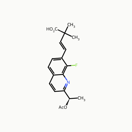 CC(=O)O[C@H](C)c1ccc2ccc(/C=C/C(C)(C)C(=O)O)c(F)c2n1